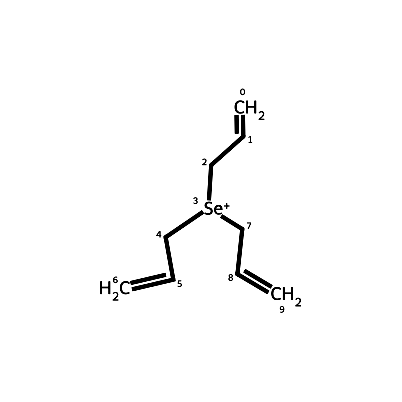 C=CC[Se+](CC=C)CC=C